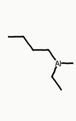 CCC[CH2][Al]([CH3])[CH2]C